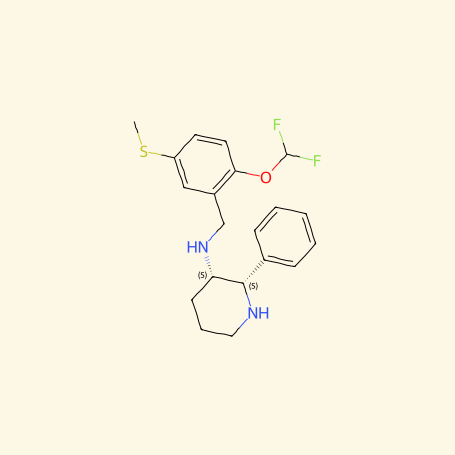 CSc1ccc(OC(F)F)c(CN[C@H]2CCCN[C@H]2c2ccccc2)c1